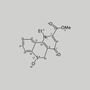 CCn1c(C(=O)OC)cc(=O)c2c1-c1ccccc1[S+]([O-])C2